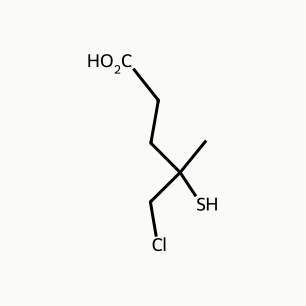 CC(S)(CCl)CCC(=O)O